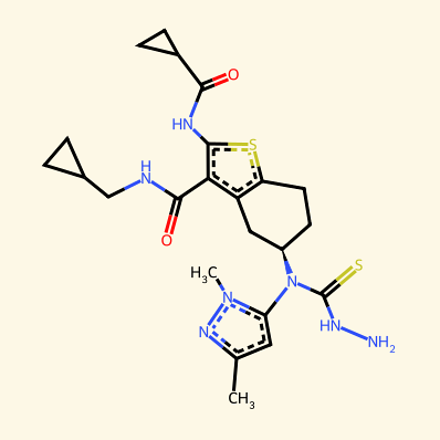 Cc1cc(N(C(=S)NN)[C@@H]2CCc3sc(NC(=O)C4CC4)c(C(=O)NCC4CC4)c3C2)n(C)n1